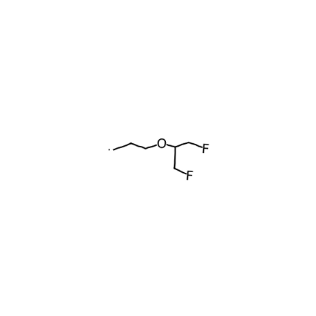 [CH2]CCOC(CF)CF